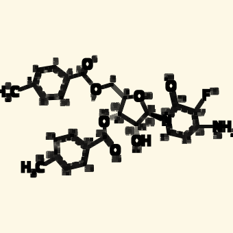 Cc1ccc(C(=O)OCC2O[C@@H](n3ccc(N)c(F)c3=O)[C@H](O)[C@@H]2OC(=O)c2ccc(C)cc2)cc1